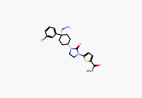 COC(=O)c1ccc(N2CCN([C@H]3CC[C@](CN)(c4cccc(Cl)c4)CC3)C2=O)s1